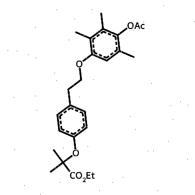 CCOC(=O)C(C)(C)Oc1ccc(CCOc2cc(C)c(OC(C)=O)c(C)c2C)cc1